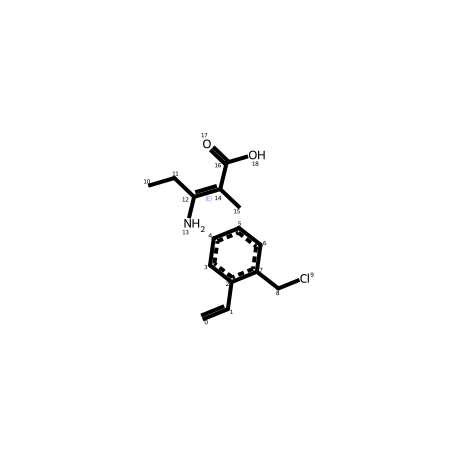 C=Cc1ccccc1CCl.CC/C(N)=C(/C)C(=O)O